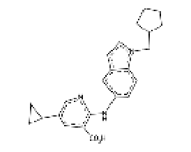 O=C(O)c1cc(C2CC2)cnc1Nc1ccc2c(ccn2CC2CCCC2)c1